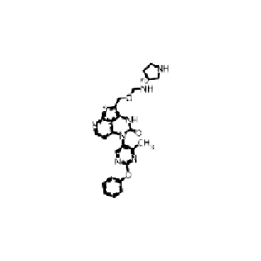 Cc1nc(Oc2ccccc2)ncc1N1C(=O)Nc2c(COCN[C@@H]3CCNC3)sc3nccc1c23